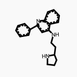 c1ccc(-c2cc(NCCC3CCCN3)c3ccccc3n2)cc1